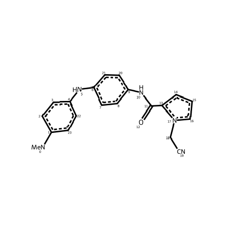 CNc1ccc(Nc2ccc(NC(=O)c3cccn3CC#N)cc2)cc1